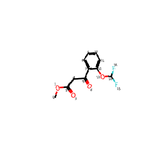 COC(=O)CC(=O)c1ccccc1OC(F)F